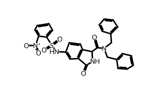 O=C1NC(C(=O)N(Cc2ccccc2)Cc2ccccc2)c2ccc(NS(=O)(=O)c3ccccc3[N+](=O)[O-])cc21